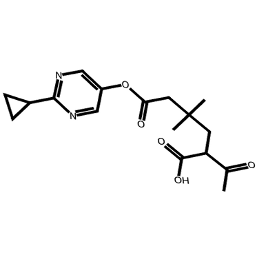 CC(=O)C(CC(C)(C)CC(=O)Oc1cnc(C2CC2)nc1)C(=O)O